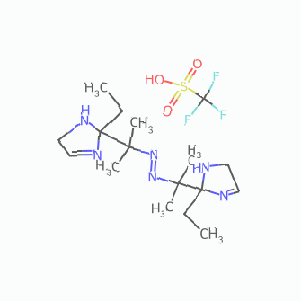 CCC1(C(C)(C)N=NC(C)(C)C2(CC)N=CCN2)N=CCN1.O=S(=O)(O)C(F)(F)F